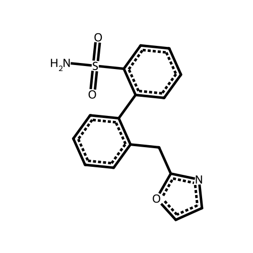 NS(=O)(=O)c1ccccc1-c1ccccc1Cc1ncco1